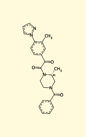 Cc1cc(C(=O)C(=O)N2CCN(C(=O)c3ccccc3)C[C@H]2C)ccc1-n1cccn1